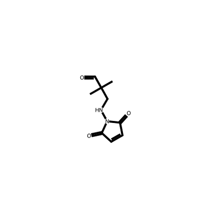 CC(C)(C=O)CNN1C(=O)C=CC1=O